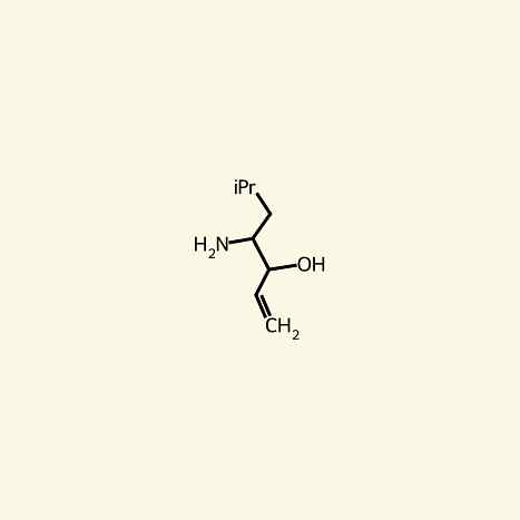 C=CC(O)C(N)CC(C)C